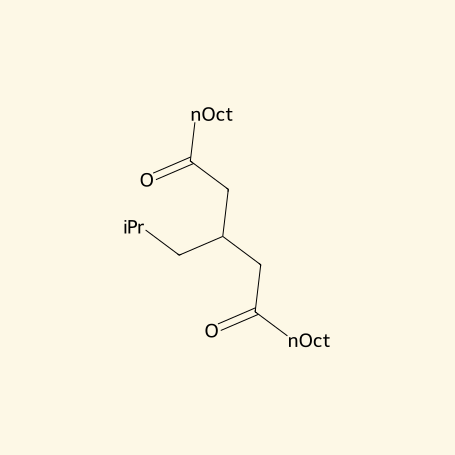 CCCCCCCCC(=O)CC(CC(=O)CCCCCCCC)CC(C)C